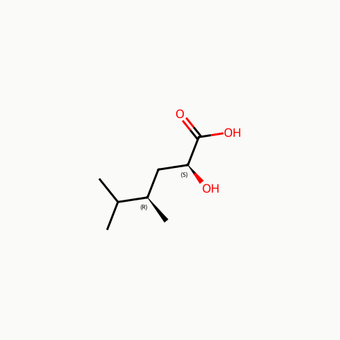 CC(C)[C@H](C)C[C@H](O)C(=O)O